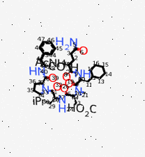 CC(=O)N[C@@H](CCC(N)=O)C(=O)N[C@@H](CC1CCCCC1)C(=O)N(C)[C@@H](CC(=O)O)C(=O)N[C@@H](CC(C)C)C(=O)N1CCC[C@H]1C(=O)N[C@@H](Cc1ccccc1)C(=O)O